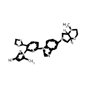 Cc1cc(C#N)nn1-c1nc(-n2cnc3cc(N4C[C@H]5OCCN(C)[C@H]5C4)ccc32)ccc1C1OCCO1